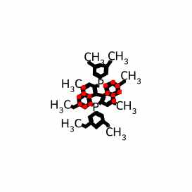 CCc1cc(CC)cc(P(c2cc(CC)cc(CC)c2)c2ccc3ccccc3c2-c2c(P(c3cc(CC)cc(CC)c3)c3cc(CC)cc(CC)c3)ccc3ccccc23)c1